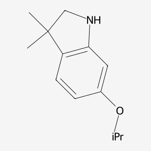 CC(C)Oc1ccc2c(c1)NCC2(C)C